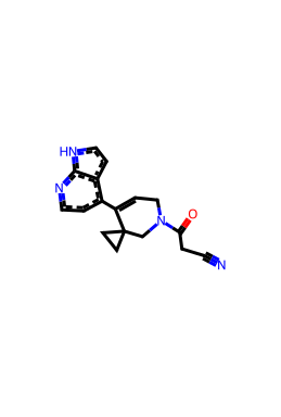 N#CCC(=O)N1CC=C(c2ccnc3[nH]ccc23)C2(CC2)C1